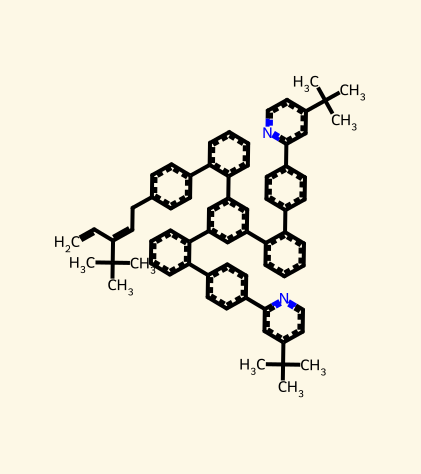 C=C/C(=C\Cc1ccc(-c2ccccc2-c2cc(-c3ccccc3-c3ccc(-c4cc(C(C)(C)C)ccn4)cc3)cc(-c3ccccc3-c3ccc(-c4cc(C(C)(C)C)ccn4)cc3)c2)cc1)C(C)(C)C